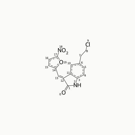 O=C1Nc2ccc(CCCl)cc2C1=Cc1ccc([N+](=O)[O-])o1